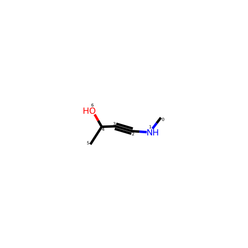 CNC#CC(C)O